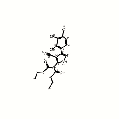 CCCC(=O)N(C(=O)CCC)c1[nH]nc(-c2ccc(Cl)c(Cl)c2Cl)c1C#N